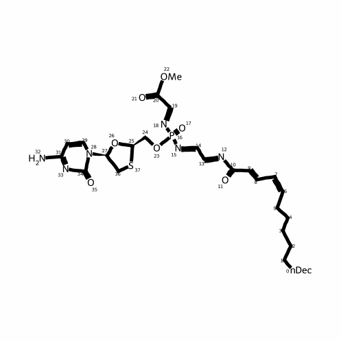 CCCCCCCCCCCCCCC/C=C\C=CC(=O)N=CC=NP(=O)(N=CC(=O)OC)OC[C@@H]1O[C@H](n2ccc(N)nc2=O)CS1